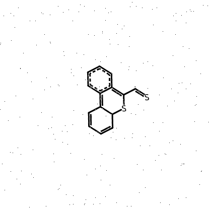 S=[C]C1=c2ccccc2=C2C=CC=CC2S1